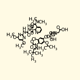 CC(C)Oc1cc(-n2nc(C(C)(C)C)oc2=O)c(Cl)cc1Cl.COc1cc(OC)nc(NC(=O)NS(=O)(=O)c2ncccc2C(=O)N(C)C)n1.O=C(O)CNCP(=O)(O)O